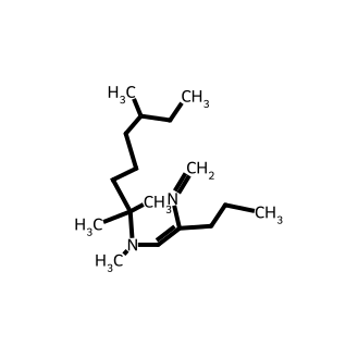 C=N/C(=C\N(C)C(C)(C)CCCC(C)CC)CCC